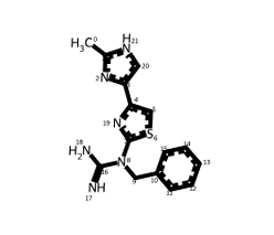 Cc1nc(-c2csc(N(Cc3ccccc3)C(=N)N)n2)c[nH]1